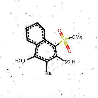 CCCCc1c(S(=O)(=O)O)c(S(=O)(=O)OC)c2ccccc2c1C(=O)O